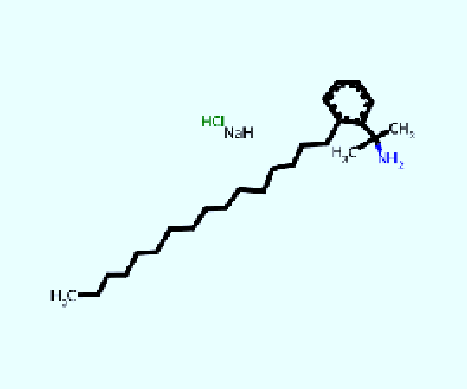 CCCCCCCCCCCCCCCCc1ccccc1C(C)(C)N.Cl.[NaH]